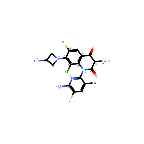 N#Cc1cc(F)c(N)nc1N1C(=O)C(C(=O)O)C(=O)c2cc(F)c(N3CC(N)C3)c(Cl)c21